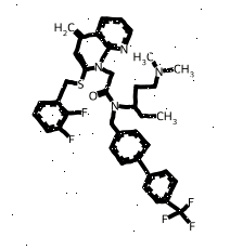 C=C1C=C(SCc2cccc(F)c2F)N(CC(=O)N(Cc2ccc(-c3ccc(C(F)(F)F)cc3)cc2)C(CC)CCN(C)C)c2ncccc21